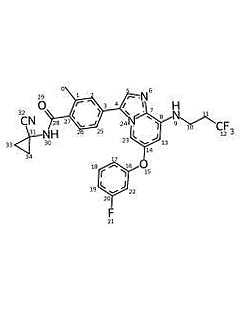 Cc1cc(-c2cnc3c(NCCC(F)(F)F)cc(Oc4cccc(F)c4)cn23)ccc1C(=O)NC1(C#N)CC1